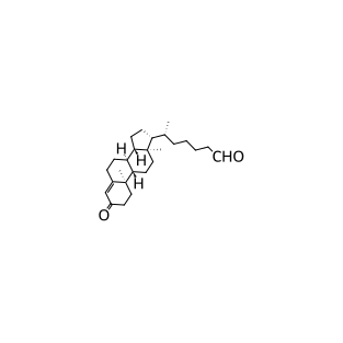 C[C@H](CCCCC=O)[C@H]1CC[C@H]2[C@@H]3CCC4=CC(=O)CC[C@]4(C)[C@H]3CC[C@]12C